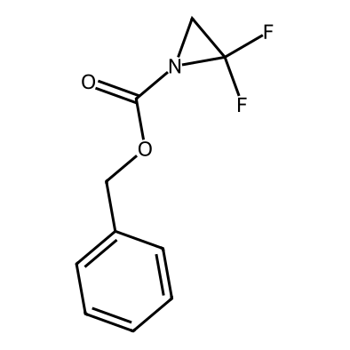 O=C(OCc1ccccc1)N1CC1(F)F